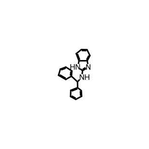 c1ccc(C(Nc2nc3ccccc3[nH]2)c2ccccc2)cc1